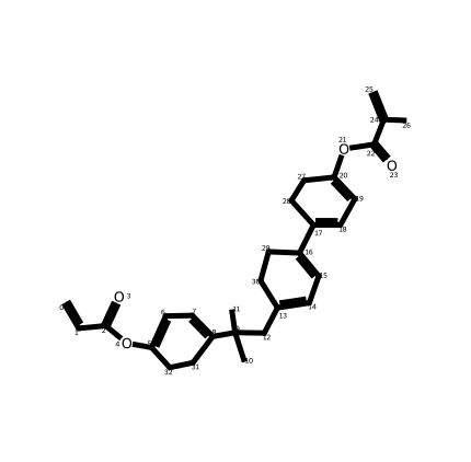 C=CC(=O)OC1=CC=C(C(C)(C)CC2=CC=C(C3=CC=C(OC(=O)C(=C)C)CC3)CC2)CC1